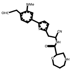 CNc1cc(-c2ccc(CC(C#N)NC(=O)C3CNCCCO3)s2)ccc1CC=O